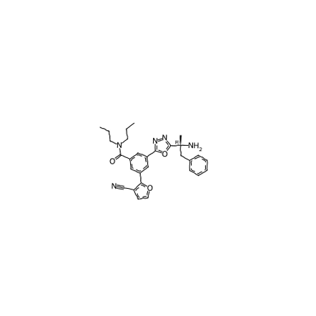 CCCN(CCC)C(=O)c1cc(-c2nnc([C@](C)(N)Cc3ccccc3)o2)cc(-c2occc2C#N)c1